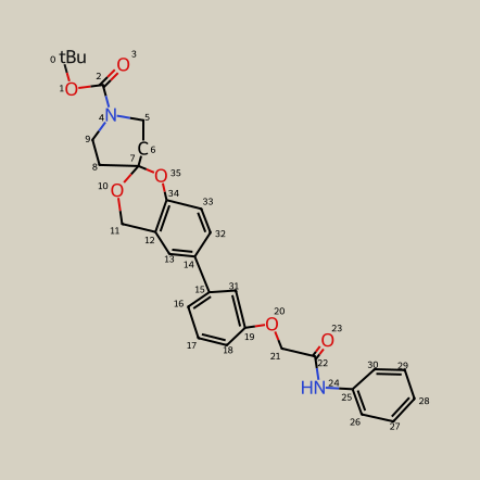 CC(C)(C)OC(=O)N1CCC2(CC1)OCc1cc(-c3cccc(OCC(=O)Nc4ccccc4)c3)ccc1O2